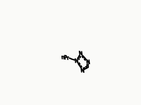 [CH2]CCn1ncnn1